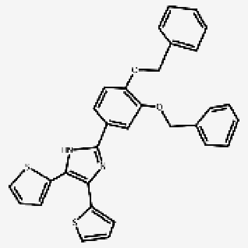 c1ccc(COc2ccc(-c3nc(-c4cccs4)c(-c4cccs4)[nH]3)cc2OCc2ccccc2)cc1